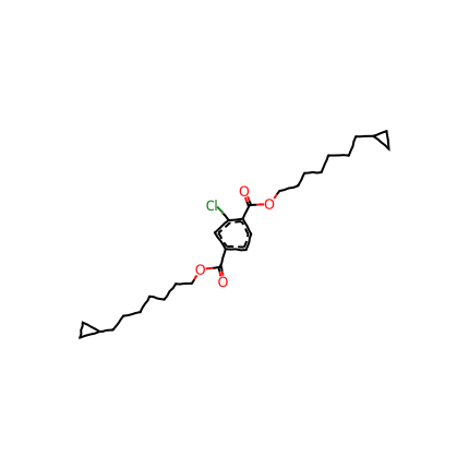 O=C(OCCCCCCCC1CC1)c1ccc(C(=O)OCCCCCCCC2CC2)c(Cl)c1